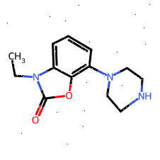 CCn1c(=O)oc2c(N3CCNCC3)cccc21